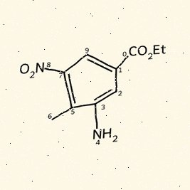 CCOC(=O)c1cc(N)c(C)c([N+](=O)[O-])c1